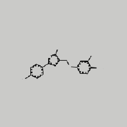 CC(=O)Oc1ccc(SCc2cc(-c3ccc(Cl)cc3)oc2C(F)(F)F)cc1C